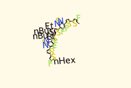 CCCCCCc1sc(-c2ccc(-c3c(F)c(F)c(-c4cc5c(s4)-c4sc(-c6c(F)c(F)c(-c7ccc(-c8cc(F)c(C)s8)s7)c7nsnc67)cc4[Si]5(CC(CC)CCCC)CC(CC)CCCC)c4nsnc34)s2)cc1F